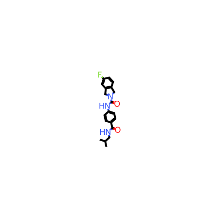 CC(C)CNC(=O)c1ccc(NC(=O)N2Cc3ccc(F)cc3C2)cc1